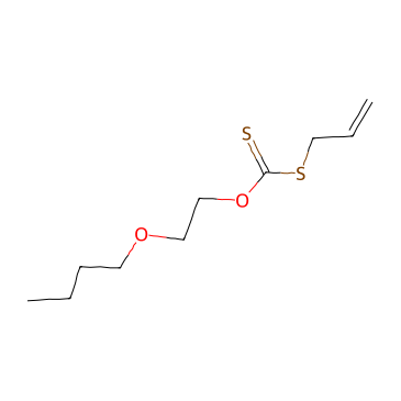 C=CCSC(=S)OCCOCCCC